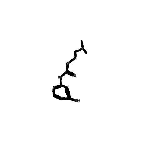 CN(C)CCOC(=O)Nc1cc(O)ccn1